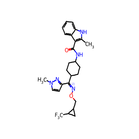 Cc1[nH]c2ccccc2c1C(=O)NC1CCC(/C(=N/OCC2CC2C(F)(F)F)c2ccn(C)n2)CC1